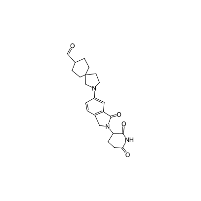 O=CC1CCC2(CC1)CCN(c1ccc3c(c1)C(=O)N(C1CCC(=O)NC1=O)C3)C2